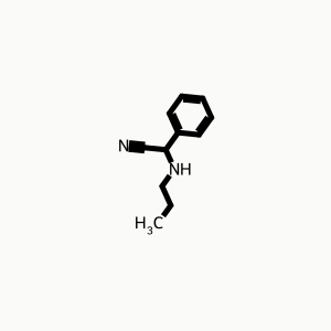 CCCNC(C#N)c1ccccc1